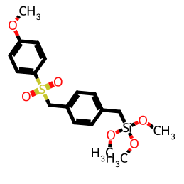 COc1ccc(S(=O)(=O)Cc2ccc(C[Si](OC)(OC)OC)cc2)cc1